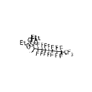 [CH2]C(C(F)(F)C(F)(F)C(F)(F)C(F)(F)C(F)(F)C(F)(F)C(F)(F)C(F)(F)F)[Si](OCC)(OCC)OCC